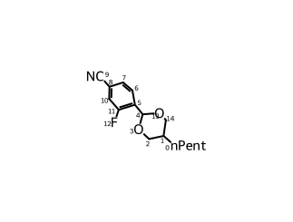 CCCCCC1COC(c2ccc(C#N)cc2F)OC1